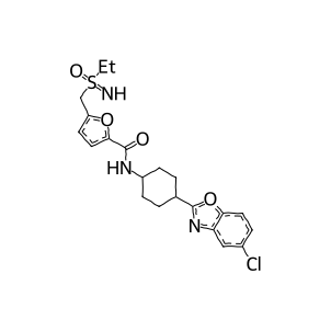 CCS(=N)(=O)Cc1ccc(C(=O)NC2CCC(c3nc4cc(Cl)ccc4o3)CC2)o1